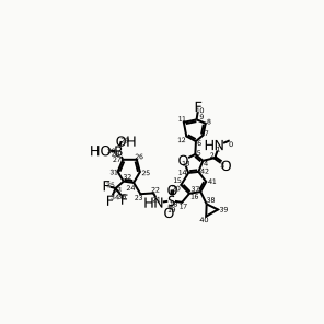 CNC(=O)c1c(-c2ccc(F)cc2)oc2cc(CS(=O)(=O)NCCc3ccc(B(O)O)cc3C(F)(F)F)c(C3CC3)cc12